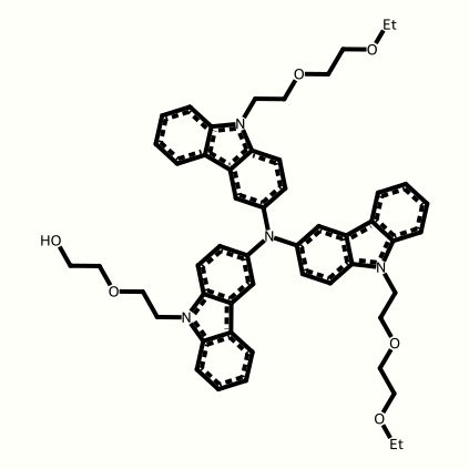 CCOCCOCCn1c2ccccc2c2cc(N(c3ccc4c(c3)c3ccccc3n4CCOCCO)c3ccc4c(c3)c3ccccc3n4CCOCCOCC)ccc21